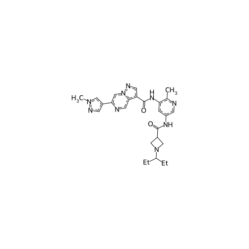 CCC(CC)N1CC(C(=O)Nc2cnc(C)c(NC(=O)c3cnn4cc(-c5cnn(C)c5)ncc34)c2)C1